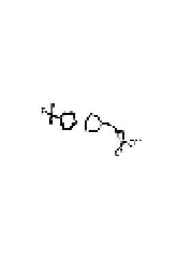 O=C(O)/C=C/C[C@H]1CC[C@H](c2ccc(C(F)(F)F)cc2)CC1